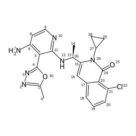 Cc1nnc(-c2c(N)ccnc2N[C@@H](C)c2cc3cccc(Cl)c3c(=O)n2C2CC2)o1